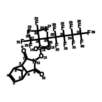 O=C1C2C3C=CC(C3)C2C(=O)N1OS(=O)(=O)C(C(F)(F)F)(C(F)(F)F)C(F)(F)C(F)(F)C(F)(F)C(F)(F)C(F)(F)F